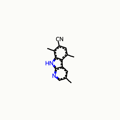 Cc1cnc2[nH]c3c(C)c(C#N)cc(C)c3c2c1